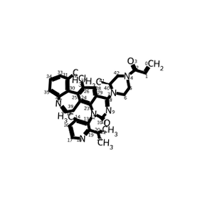 C=CC(=O)N1CCN(c2nc(=O)n(-c3c(C)ccnc3C(C)C)c3c4c(c(Cl)cc23)-c2c(C)cccc2N=CC4)[C@@H](C)C1